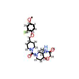 COc1ccc(OCC2CCN(C(=O)N3CCC4OCC(=O)N[C@@H]4C3)CC2)c(F)c1